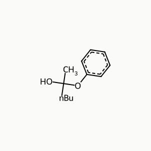 CCCCC(C)(O)Oc1ccccc1